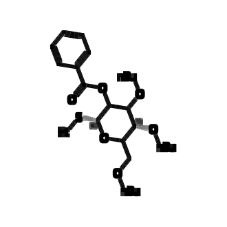 CCCCOCC1O[C@H](SCC)C(OC(=O)c2ccccc2)C(OCCCC)[C@@H]1OCCCC